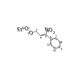 CCOOCC=C(c1ccccc1)[N+](=O)[O-]